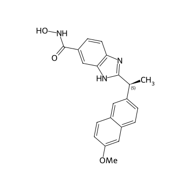 COc1ccc2cc([C@H](C)c3nc4ccc(C(=O)NO)cc4[nH]3)ccc2c1